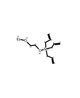 C=CC[Si](CC=C)(CC=C)OCCOCC